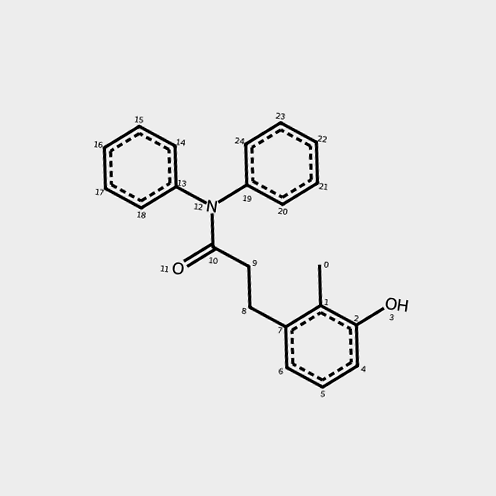 Cc1c(O)cccc1CCC(=O)N(c1ccccc1)c1ccccc1